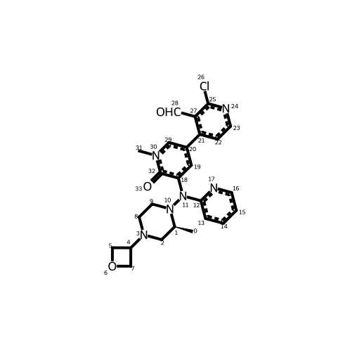 C[C@H]1CN(C2COC2)CCN1N(c1ccccn1)c1cc(-c2ccnc(Cl)c2C=O)cn(C)c1=O